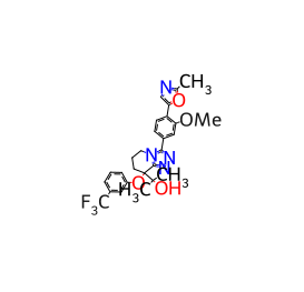 COc1cc(-c2nnc3n2CCCC3(Oc2cccc(C(F)(F)F)c2)C(C)(C)O)ccc1-c1cnc(C)o1